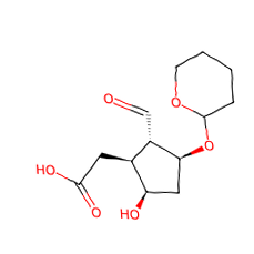 O=C[C@H]1[C@H](CC(=O)O)[C@H](O)C[C@@H]1OC1CCCCO1